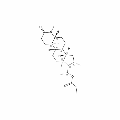 CCC(=O)O[C@H](C)[C@H]1[C@@H](C)C[C@H]2[C@@H]3CC[C@H]4N(C)C(=O)CC[C@]4(C)[C@H]3CC[C@]12C